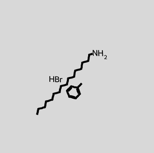 Br.CCCCCCCCCCCCCCCCN.Cc1ccccc1